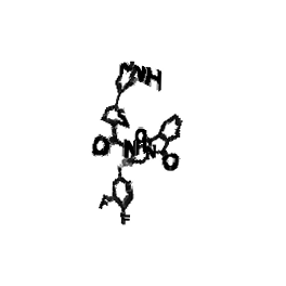 O=C(N[C@@H](Cc1ccc(F)c(F)c1)CN1C(=O)c2ccccc2C1=O)c1ccc(-c2cn[nH]c2)s1